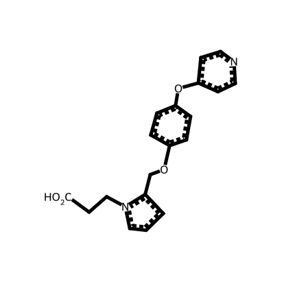 O=C(O)CCn1cccc1COc1ccc(Oc2ccncc2)cc1